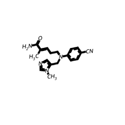 CC(=CCCN(Cc1cncn1C)c1ccc(C#N)cc1)C(N)=O